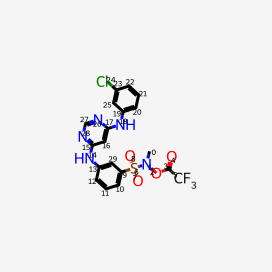 CN(OC(=O)C(F)(F)F)S(=O)(=O)c1cccc(Nc2cc(Nc3cccc(Cl)c3)ncn2)c1